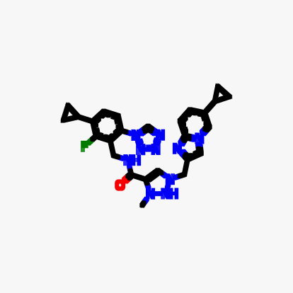 CN1NN(Cc2cn3cc(C4CC4)ccc3n2)C=C1C(=O)NCc1c(-n2cnnn2)ccc(C2CC2)c1F